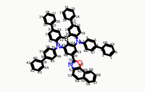 c1ccc(-c2ccc(N3c4ccc(-c5ccccc5)cc4B4c5cc(-c6ccccc6)ccc5N(c5ccc(-c6ccccc6)cc5)c5cc(-c6nc7ccc8ccccc8c7o6)cc3c54)cc2)cc1